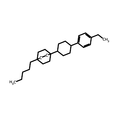 CCCCCC12CCC(C3CCC(c4ccc(CC)cc4)CC3)(CC1)CC2